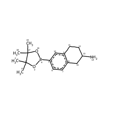 CC1(C)OB(c2ccc3c(c2)CCC(N)C3)OC1(C)C